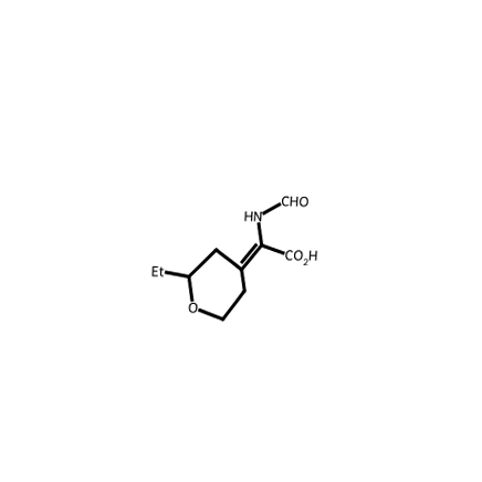 CCC1CC(=C(NC=O)C(=O)O)CCO1